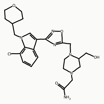 NC(=O)CN1CCN(Cc2nc(-c3cn(CC4CCOCC4)c4c(Cl)cccc34)no2)C(CO)C1